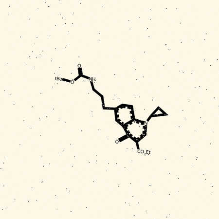 CCOC(=O)c1cn(C2CC2)c2ccc(CCCNC(=O)OC(C)(C)C)cc2c1=O